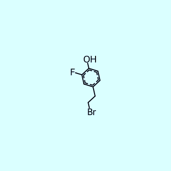 Oc1ccc(CCBr)cc1F